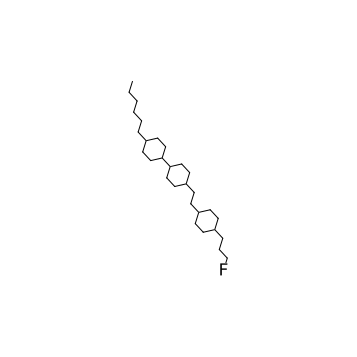 CCCCCCC1CCC(C2CCC(CCC3CCC(CCCF)CC3)CC2)CC1